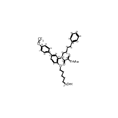 CCCCCCCCCCCCCCCOc1ccc(-c2ccc(OC(F)(F)F)cc2)cc1N(CCCCc1ccccc1)C(=O)C(=O)OC